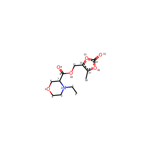 CCN1CCOCC1C(=O)OCc1oc(=O)oc1C